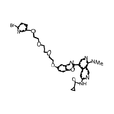 CNc1ncc(-c2nc3cc(OCCOCCOCCOc4ccc(Br)nc4)ccc3o2)c2cc(NC(=O)C3CC3)ncc12